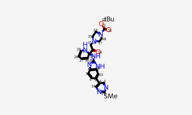 CSc1ncc(-c2ccc3nc(NC4(C(=O)CN5CCN(C(=O)OC(C)(C)C)CC5)C=CC=CN4)[nH]c3c2)cn1